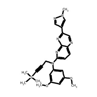 COc1cc(OC)cc(N(CC#CS(C)(C)C)c2ccc3ncc(-c4cnn(C)c4)nc3n2)c1